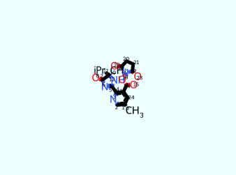 Cc1cnc(C2=NC(=O)C(C)(C(C)C)N2)c(C(=O)ON2C(=O)CCC2=O)c1